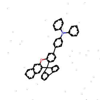 c1ccc(N(c2ccccc2)c2ccc(-c3ccc4c(c3)Oc3cc5ccccc5cc3C43c4ccccc4-c4ccccc43)cc2)cc1